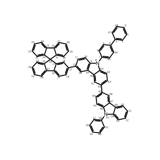 c1ccc(-c2ccc(-n3c4ccc(-c5ccc6c(c5)C5(c7ccccc7-c7ccccc75)c5ccccc5-6)cc4c4cc(-c5ccc6c(c5)c5ccccc5n6-c5ccccc5)ccc43)cc2)cc1